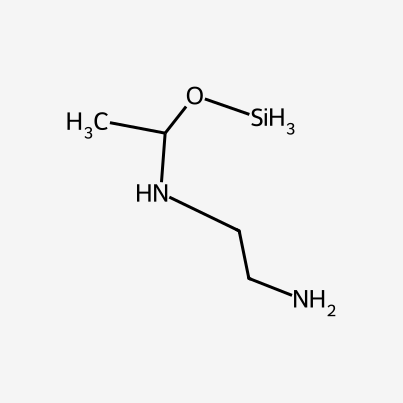 CC(NCCN)O[SiH3]